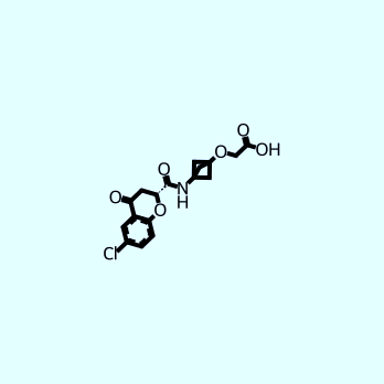 O=C(O)COC12CC(NC(=O)[C@H]3CC(=O)c4cc(Cl)ccc4O3)(C1)C2